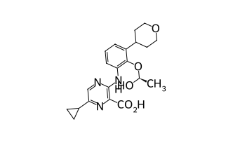 C[C@@H](O)Oc1c(Nc2ncc(C3CC3)nc2C(=O)O)cccc1C1CCOCC1